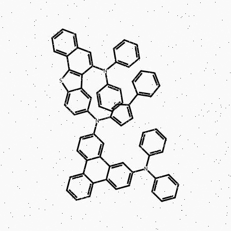 c1ccc(-c2ccc(N(c3ccc4c5ccccc5c5ccc(N(c6ccccc6)c6ccccc6)cc5c4c3)c3ccc4sc5c6ccccc6cc(N(c6ccccc6)c6ccccc6)c5c4c3)s2)cc1